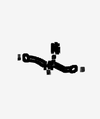 [Al].[O]=[Hf]=[O]